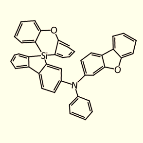 c1ccc(N(c2ccc3c(c2)[Si]2(c4ccccc4Oc4ccccc42)c2ccccc2-3)c2ccc3c(c2)oc2ccccc23)cc1